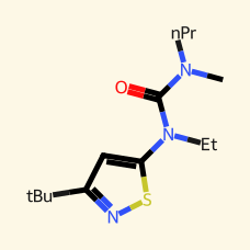 CCCN(C)C(=O)N(CC)c1cc(C(C)(C)C)ns1